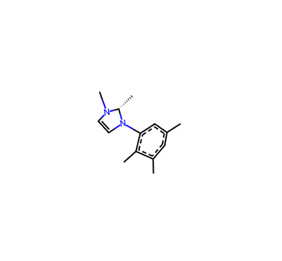 Cc1cc(C)c(C)c(N2C=CN(C)[C@@H]2C)c1